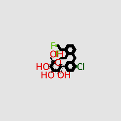 OC[C@H]1O[C@@H](c2ccc(Cl)c(Cc3cccc(CCF)c3CCF)c2)[C@H](O)[C@@H](O)[C@@H]1O